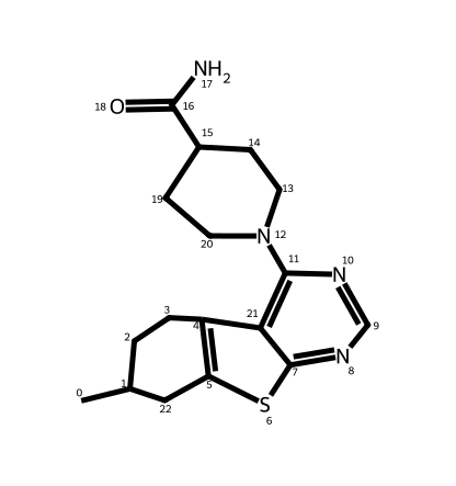 CC1CCc2c(sc3ncnc(N4CCC(C(N)=O)CC4)c23)C1